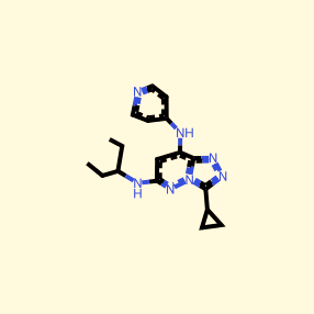 CCC(CC)Nc1cc(Nc2ccncc2)c2nnc(C3CC3)n2n1